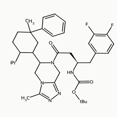 Cc1nnc2n1CC(C1CC(C)(c3ccccc3)CCC1C(C)C)N(C(=O)C[C@@H](Cc1ccc(F)c(F)c1)NC(=O)OC(C)(C)C)C2